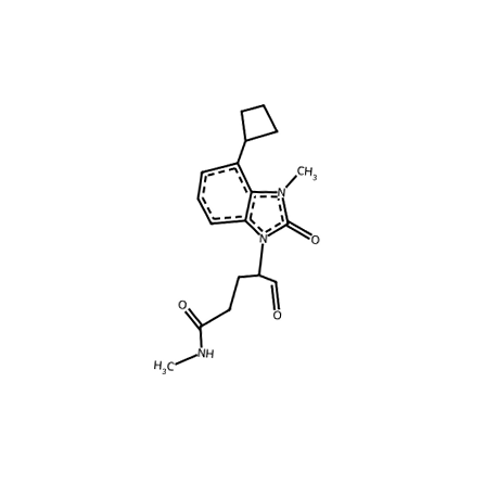 CNC(=O)CCC(C=O)n1c(=O)n(C)c2c(C3CCC3)cccc21